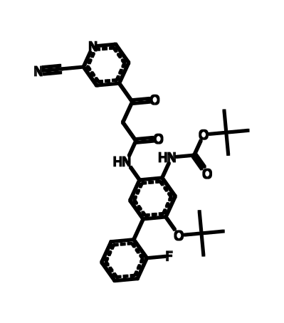 CC(C)(C)OC(=O)Nc1cc(OC(C)(C)C)c(-c2ccccc2F)cc1NC(=O)CC(=O)c1ccnc(C#N)c1